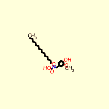 CCCCCCCCCCCCCCCCON(Cc1ccc(O)c(OC)c1)C(=O)O